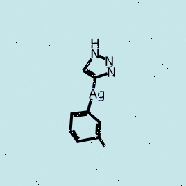 Cc1ccc[c]([Ag][c]2c[nH]nn2)c1